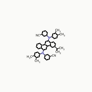 C=C(C)c1ccc2c(N(c3cccc(C#N)c3)c3ccc(C)c(C)c3)cc3c4ccccc4c(N(c4cccc(C#N)c4)c4ccc(C)c(C)c4)cc3c2c1